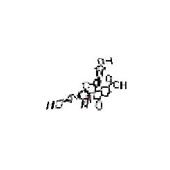 [N-]=[N+]=C1C(=O)c2ccc(C(=O)O)cc2C12c1ccc(N3CC(O)C3)cc1Oc1cc(N3CC(O)C3)ccc12